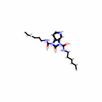 CCCCCCNC(=O)n1c(=O)n(C(=O)NCCCCCC)c2cnccc21